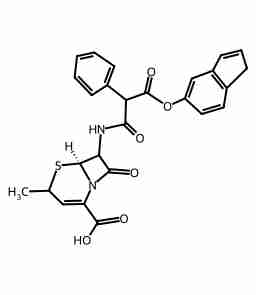 CC1C=C(C(=O)O)N2C(=O)C(NC(=O)C(C(=O)Oc3ccc4c(c3)C=CC4)c3ccccc3)[C@@H]2S1